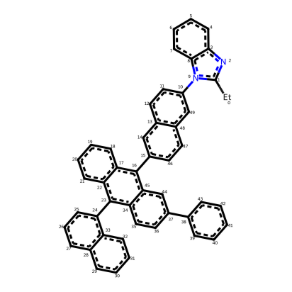 CCc1nc2ccccc2n1-c1ccc2cc(-c3c4ccccc4c(-c4cccc5ccccc45)c4ccc(-c5ccccc5)cc34)ccc2c1